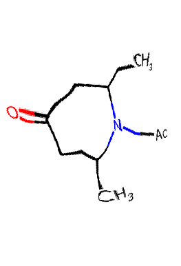 CC(=O)N1C(C)CC(=O)CC1C